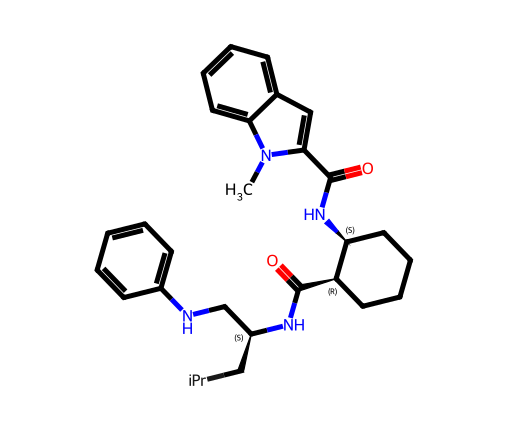 CC(C)C[C@@H](CNc1ccccc1)NC(=O)[C@@H]1CCCC[C@@H]1NC(=O)c1cc2ccccc2n1C